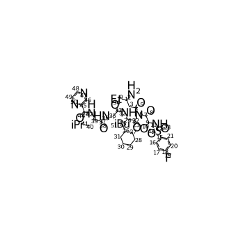 CCC(N)CC(=O)N(C(=O)C(=O)NS(=O)(=O)c1ccc(F)cc1)C(=O)[C@H](CC1CCCCC1)NC(=O)[C@@H](NC(=O)[C@H](CC(C)C)NC(=O)c1cnccn1)[C@@H](C)CC